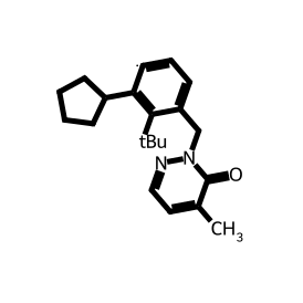 Cc1ccnn(Cc2cc[c]c(C3CCCC3)c2C(C)(C)C)c1=O